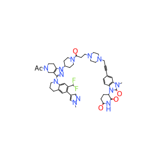 CC(=O)N1CCc2c(c(N3CCCc4cc(-c5cnn(C)c5)c(C(F)F)cc43)nn2C2CCN(C(=O)CCN3CCN(CC#Cc4ccc5c(c4)n(C)c(=O)n5C4CCC(=O)NC4=O)CC3)CC2)C1